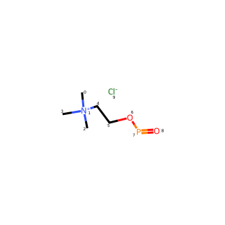 C[N+](C)(C)CCOP=O.[Cl-]